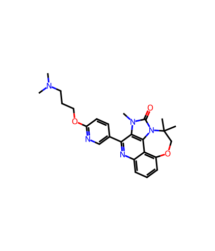 CN(C)CCCOc1ccc(-c2nc3cccc4c3c3c2n(C)c(=O)n3C(C)(C)CO4)cn1